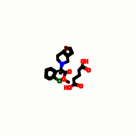 COC(=O)[C@H](c1ccccc1Cl)N1CCc2sccc2C1.O=C(O)CCCC(=O)O